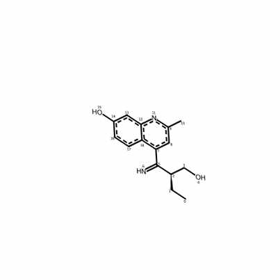 CC[C@H](CO)C(=N)c1cc(C)nc2cc(O)ccc12